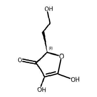 O=C1C(O)=C(O)O[C@@H]1CCO